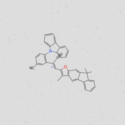 C#C/C(=C\c1oc2cc3c(cc2c1C)-c1ccccc1C3(C)C)c1cc(C#N)ccc1-n1c2ccccc2c2ccccc21